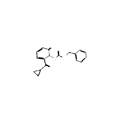 O=C(NC1C(=O)C=CC=C1C(=O)C1CC1)OCc1ccccc1